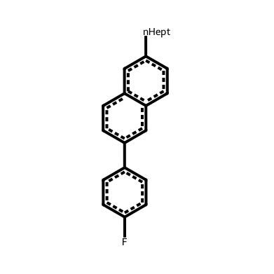 CCCCCCCc1ccc2cc(-c3ccc(F)cc3)ccc2c1